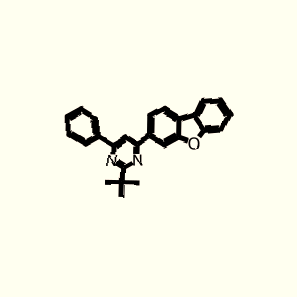 CC(C)(C)c1nc(-c2ccccc2)cc(-c2ccc3c(c2)oc2ccccc23)n1